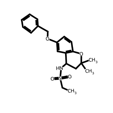 CCS(=O)(=O)NC1CC(C)(C)Oc2ccc(OCc3ccccc3)cc21